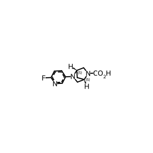 O=C(O)N1C[C@@H]2C[C@H]1CN2c1ccc(F)nc1